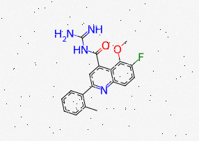 COc1c(F)ccc2nc(-c3ccccc3C)cc(C(=O)NC(=N)N)c12